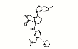 CN(C)Cc1nc(Nc2ccc(-c3cnc4cc(F)ccn34)c3c2C(=O)NC3)ccc1[C@@H]1CCCO1